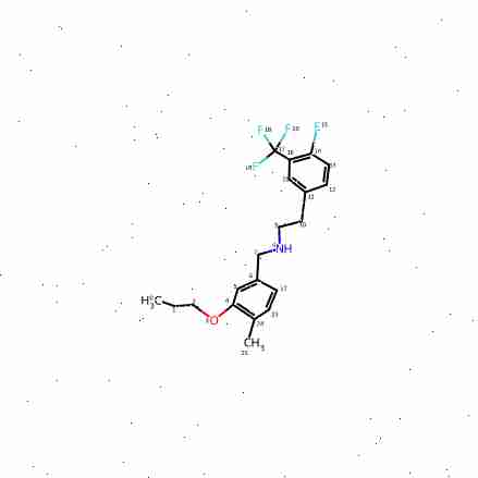 CCCOc1cc(CNCCc2ccc(F)c(C(F)(F)F)c2)ccc1C